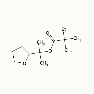 CCC(C)(C)C(=O)OC(C)(C)C1CCCO1